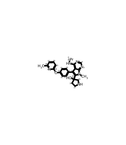 CCCNc1ncnc2c1c(-c1ccc(Oc3cccc(C)n3)cc1)c(C1(O)CCNC1)n2C